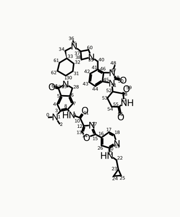 CN(C)c1cc2c(cc1NC(=O)c1coc(-c3ccnc(NCC4CC4)c3)n1)CN([C@H]1CC[C@H](CN(C)C3CN(Cc4cccc5c4n(C)c(=O)n5C4CCC(=O)NC4=O)C3)CC1)C2=O